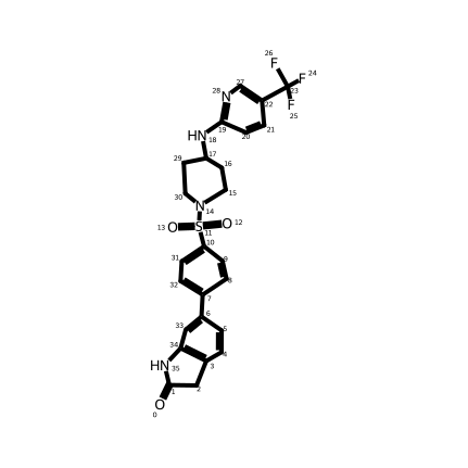 O=C1Cc2ccc(-c3ccc(S(=O)(=O)N4CCC(Nc5ccc(C(F)(F)F)cn5)CC4)cc3)cc2N1